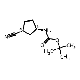 CC(C)(C)OC(=O)N[C@@H]1CC[C@H](C#N)C1